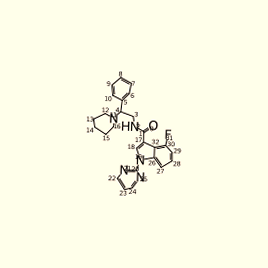 O=C(NCC(c1ccccc1)N1CCCCC1)c1cn(-c2ncccn2)c2cccc(F)c12